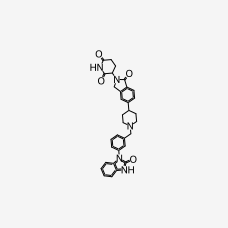 O=C1CCC(N2Cc3cc(C4CCN(Cc5cccc(-n6c(=O)[nH]c7ccccc76)c5)CC4)ccc3C2=O)C(=O)N1